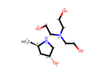 O=C(O)[C@@H]1C[C@@H](O)CN1.OCCN(CCO)CCO